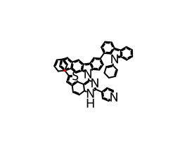 C1=CCC(c2cc3c(s2)C2=C(n4c5ccc(-c6cccc7c8ccccc8n(C8=CCCC=C8)c67)cc5c5cc6ccccc6cc54)N=C(c4ccncc4)NC2C=C3)C=C1